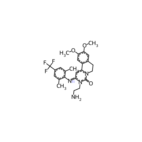 COc1cc2c(cc1OC)-c1c/c(=N\c3c(C)cc(C(F)(F)F)cc3C)n(CCN)c(=O)n1CC2